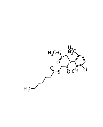 CCCCCCC(=O)SCC(=O)N(c1c(C)ccc(Cl)c1C)[C@@H](C)C(=O)OC